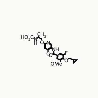 COc1cc(C(=O)Nc2cnc(OC[C@H](C)NC(=O)O)cc2Cl)cc(F)c1OCC1CC1